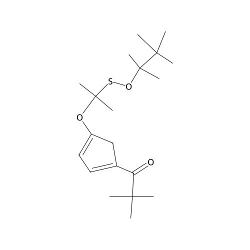 CC(C)(OC1=CC=C(C(=O)C(C)(C)C)C1)SOC(C)(C)C(C)(C)C